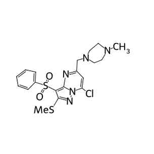 CSc1nn2c(Cl)cc(CN3CCN(C)CC3)nc2c1S(=O)(=O)c1ccccc1